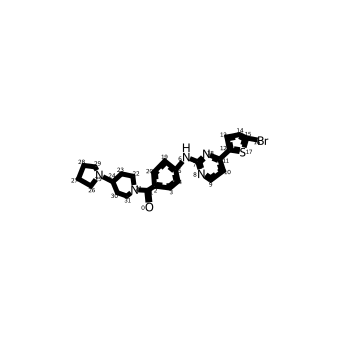 O=C(c1ccc(Nc2nccc(-c3ccc(Br)s3)n2)cc1)N1CCC(N2CCCC2)CC1